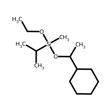 CCO[Si](C)(OC(C)C1CCCCC1)C(C)C